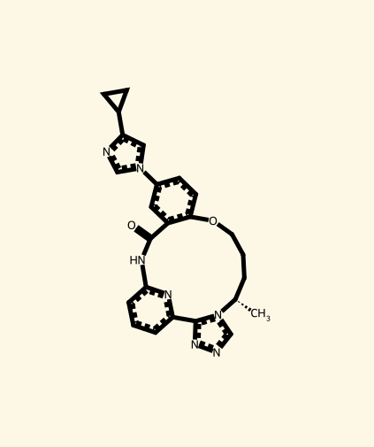 C[C@H]1CCCOc2ccc(-n3cnc(C4CC4)c3)cc2C(=O)Nc2cccc(n2)-c2nncn21